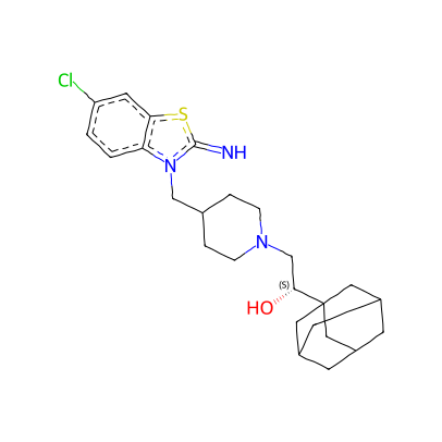 N=c1sc2cc(Cl)ccc2n1CC1CCN(C[C@@H](O)C23CC4CC(CC(C4)C2)C3)CC1